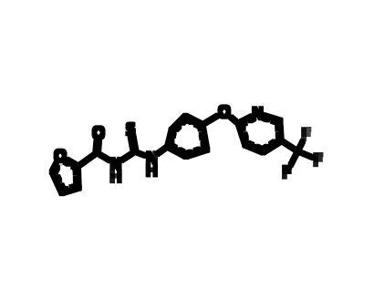 O=C(NC(=S)Nc1ccc(Oc2ccc(C(F)(F)F)cn2)cc1)c1ccco1